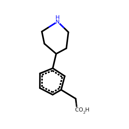 O=C(O)Cc1cccc(C2CCNCC2)c1